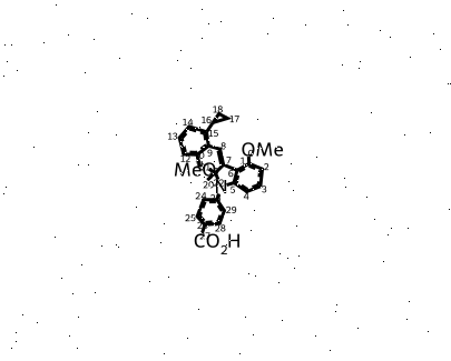 COc1cccc2c1/C(=C/c1c(C)cccc1C1CC1)C(C)(OC)N2c1ccc(C(=O)O)cc1